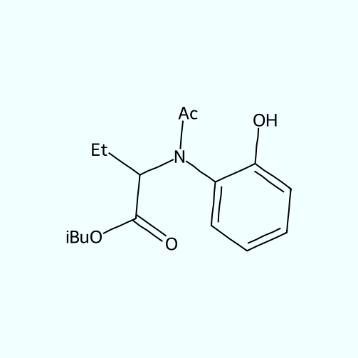 CCC(C(=O)OCC(C)C)N(C(C)=O)c1ccccc1O